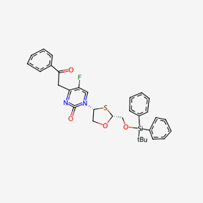 CC(C)(C)[Si](OC[C@@H]1OC[C@H](n2cc(F)c(CC(=O)c3ccccc3)nc2=O)S1)(c1ccccc1)c1ccccc1